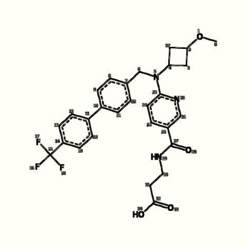 COC1CC(N(Cc2ccc(-c3ccc(C(F)(F)F)cc3)cc2)c2ccc(C(=O)NCCC(=O)O)cn2)C1